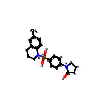 Cc1ccc2c(c1)CCCN2S(=O)(=O)c1ccc(N2CCCC2=O)cc1